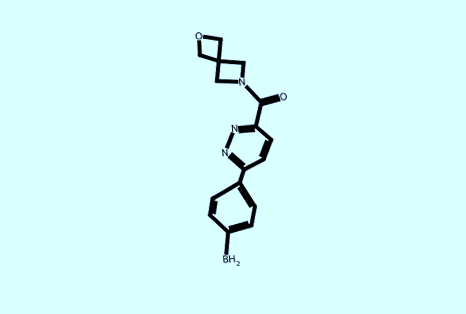 Bc1ccc(-c2ccc(C(=O)N3CC4(COC4)C3)nn2)cc1